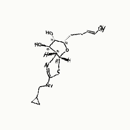 OC=CCC[C@@H]1O[C@@H]2SC(NCC3CC3)=N[C@@H]2[C@@H](O)[C@@H]1O